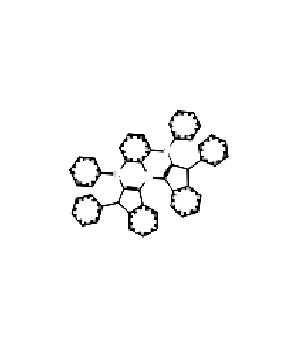 c1ccc(C2C3=C(B4C5=C(C(c6ccccc6)c6ccccc65)N(c5ccccc5)c5cccc(c54)N3c3ccccc3)c3ccccc32)cc1